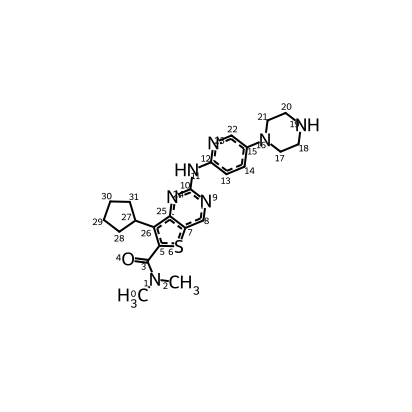 CN(C)C(=O)c1sc2cnc(Nc3ccc(N4CCNCC4)cn3)nc2c1C1CCCC1